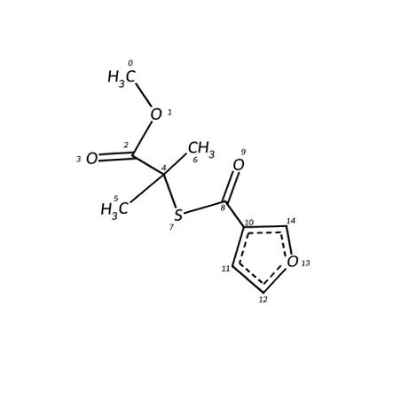 COC(=O)C(C)(C)SC(=O)c1ccoc1